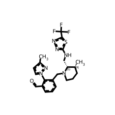 Cc1ccn(-c2c(C=O)cccc2CN2CCC[C@@H](C)[C@H]2CNc2nnc(C(F)(F)F)s2)n1